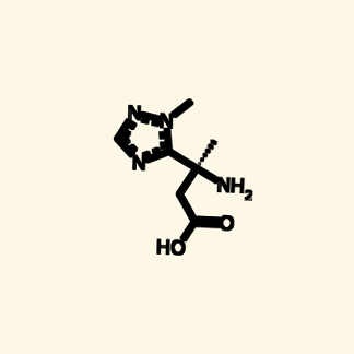 Cn1ncnc1[C@@](C)(N)CC(=O)O